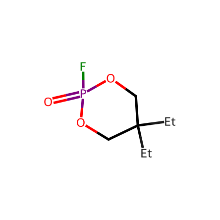 CCC1(CC)COP(=O)(F)OC1